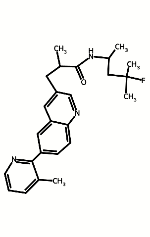 Cc1cccnc1-c1ccc2ncc(CC(C)C(=O)NC(C)CC(C)(C)F)cc2c1